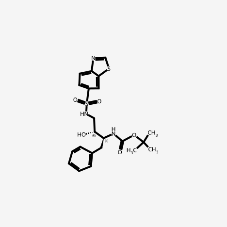 CC(C)(C)OC(=O)N[C@@H](Cc1ccccc1)[C@H](O)CNS(=O)(=O)c1ccc2ncsc2c1